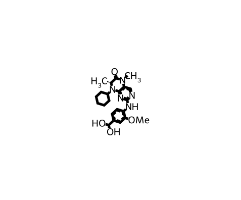 COc1cc(C(O)O)ccc1Nc1ncc2c(n1)N(C1CCCCC1)[C@H](C)C(=O)N2C